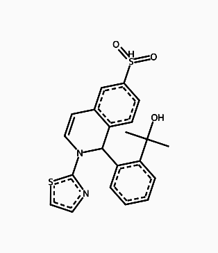 CC(C)(O)c1ccccc1C1c2ccc([SH](=O)=O)cc2C=CN1c1nccs1